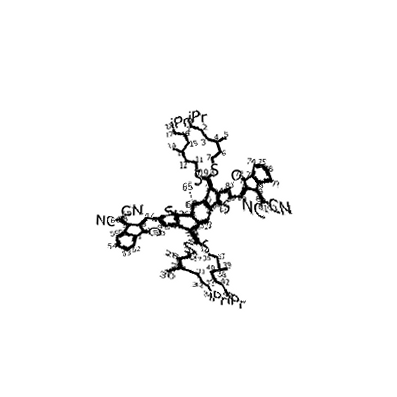 CC(C)CCCC(C)CCSC(SCCC(C)CCCC(C)C)=C1C2=C(C=C3C(=C(SCCC(C)CCCC(C)C)SCCC(C)CCCC(C)C)c4cc(/C=C5\C(=O)c6ccccc6C5=C(C#N)C#N)sc4C3[C@@H]2C)c2sc(/C=C3\C(=O)c4ccccc4C3=C(C#N)C#N)cc21